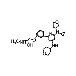 CNCC(O)COc1cccc(-c2nc(NC3CCOCC3)cc(N(C3CC3)[C@@H]3CCOC3)n2)c1